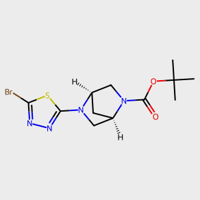 CC(C)(C)OC(=O)N1C[C@H]2C[C@@H]1CN2c1nnc(Br)s1